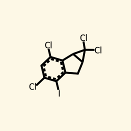 Clc1cc(Cl)c2c(c1I)CC1C2C1(Cl)Cl